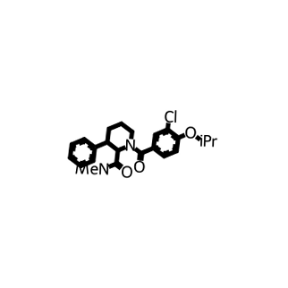 CNC(=O)C1C(c2ccccc2)CCCN1C(=O)c1ccc(OC(C)C)c(Cl)c1